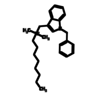 CCCCCCCC[N+](C)(C)Cc1cn(Cc2ccccc2)c2ccccc12